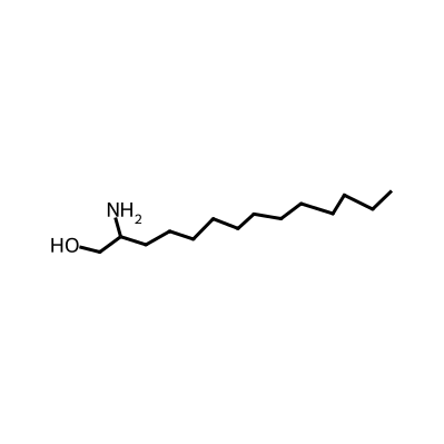 CCCCCCCCCCCCC(N)CO